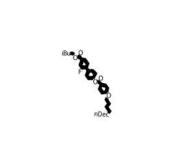 CCCCCCCCCCCCCCOc1ccc(C(=O)Oc2ccc(-c3ccc(C(=O)OCC(C)CC)cc3F)cc2)cc1